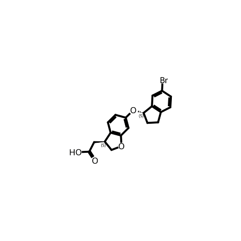 O=C(O)C[C@@H]1COc2cc(O[C@H]3CCc4ccc(Br)cc43)ccc21